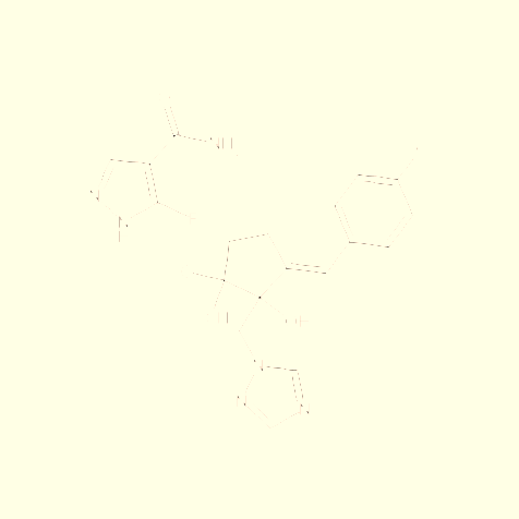 CC1(C)CC/C(=C\c2ccc(Cl)cc2)C1(O)Cn1cncn1.NC(=O)c1cn[nH]c1F